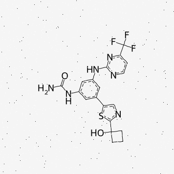 NC(=O)Nc1cc(Nc2nccc(C(F)(F)F)n2)cc(-c2cnc(C3(O)CCC3)s2)c1